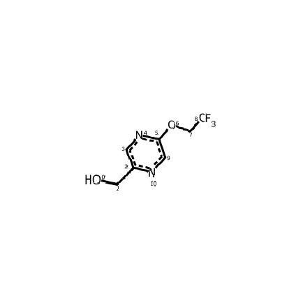 OCc1cnc(OCC(F)(F)F)cn1